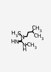 CNC(=N)N(C)CCC(C)C